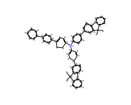 CC1(C)c2ccccc2-c2ccc(-c3ccc(N(C4=CCC(c5ccc6c(c5)C(C)(C)c5ccccc5-6)C=C4)C4=CC=C(c5ccc(-c6ccccc6)cc5)CC4)cc3)cc21